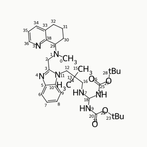 CN(Cc1nc2ccccc2n1CC(C)(C)CNC(NC(=O)OC(C)(C)C)NC(=O)OC(C)(C)C)C1CCCc2cccnc21